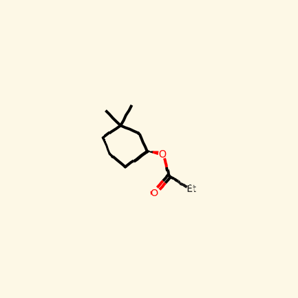 CCC(=O)O[C@H]1CCCC(C)(C)C1